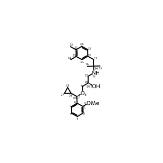 COc1ccccc1[C@H](OC[C@H](O)CNC(C)(C)Cc1ccc(C)c(C)c1)C1CC1